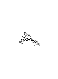 CC(C)n1c(=O)n(C2CCC(=O)NC2=O)c2ccc(C3CCN(CC(=O)OC(C)(C)C)CC3)cc21